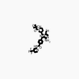 [2H]Cc1cnc(N)c2c(-c3ccc(C(=O)Nc4cc(C(F)(F)F)ccn4)cc3)nc(C3CCCN(C(=O)C4(C)COC4)C3)n12